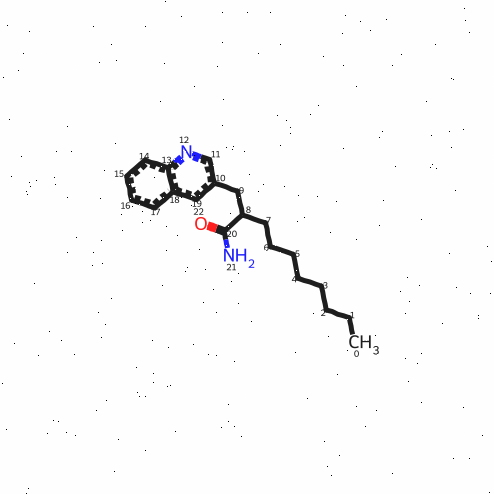 CCCCCCCCC(Cc1cnc2ccccc2c1)C(N)=O